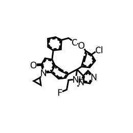 Cn1cncc1C1(NCCF)c2ccc(Cl)c(c2)OCCc2cccc(c2)-c2cc(=O)n(C3CC3)c3ccc1cc23